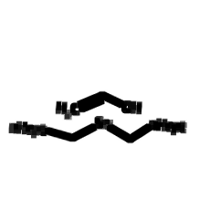 C=CO.CCCCCCC[CH2][Sn][CH2]CCCCCCC